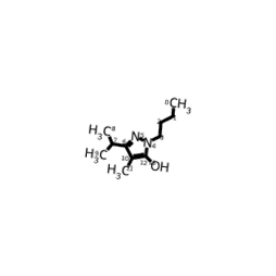 CCCCn1nc(C(C)C)c(C)c1O